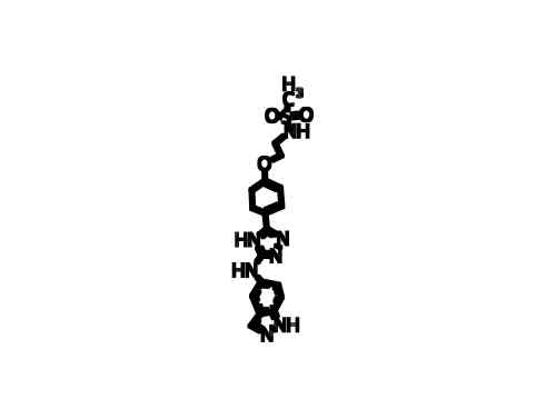 CS(=O)(=O)NCCOC1=CC=C(c2nnc(Nc3ccc4[nH]ncc4c3)[nH]2)CC1